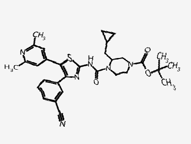 Cc1cc(-c2sc(NC(=O)N3CCN(C(=O)OC(C)(C)C)CC3CC3CC3)nc2-c2cccc(C#N)c2)cc(C)n1